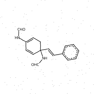 O=CNC1=CCC(C=Cc2ccccc2)(NC=O)C=C1